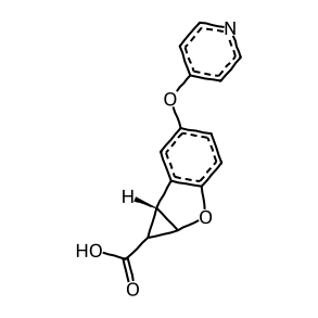 O=C(O)C1C2Oc3ccc(Oc4ccncc4)cc3[C@H]21